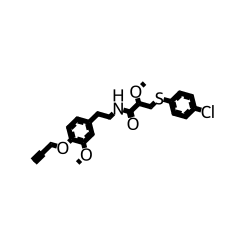 C#CCOc1ccc(CCNC(=O)C(CSc2ccc(Cl)cc2)OC)cc1OC